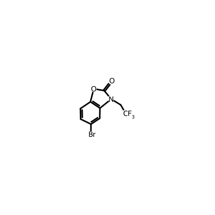 O=c1oc2ccc(Br)cc2n1CC(F)(F)F